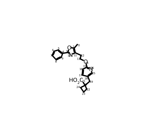 Cc1oc(-c2ccccc2)nc1CCOc1ccc(CC2(C(=O)O)CCC2)cn1